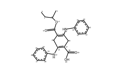 CCC(C)OC(=O)C1=C(Nc2ccccc2)CC(C(=O)O)=C(Nc2ccccc2)C1